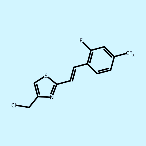 Fc1cc(C(F)(F)F)ccc1C=Cc1nc(CCl)cs1